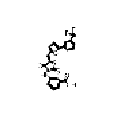 O=C(O)c1cccc(NN2C(=O)C(=Cc3ccc(-c4cccc(C(F)(F)F)c4)o3)SC2=S)c1